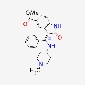 COC(=O)c1ccc2c(c1)/C(=C(/NC1CCN(C)CC1)c1ccccc1)C(=O)N2